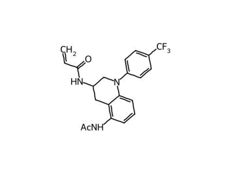 C=CC(=O)NC1Cc2c(NC(C)=O)cccc2N(c2ccc(C(F)(F)F)cc2)C1